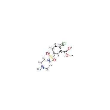 COC(=O)c1cc(S(=O)(=O)N2CCN(C)CC2)ccc1Cl